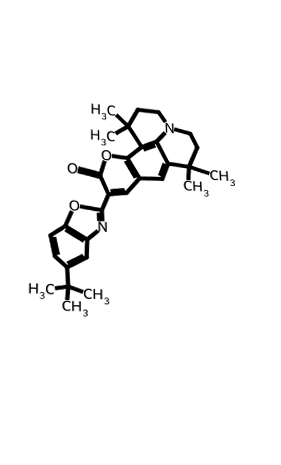 CC(C)(C)c1ccc2oc(-c3cc4cc5c6c(c4oc3=O)C(C)(C)CCN6CCC5(C)C)nc2c1